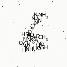 CO[C@H]1[C@@H](O[P@@](=O)(S)OC[C@@H]2CC[C@H](n3cnc4c(N)ncnc43)C2)[C@H](n2cnc3c(=O)[nH]c(N)nc32)O[C@@H]1COP(=O)(O)S